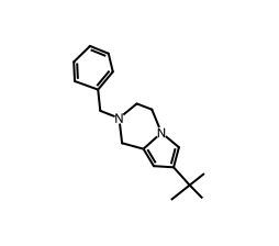 CC(C)(C)c1cc2n(c1)CCN(Cc1ccccc1)C2